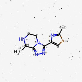 CCc1nc(-c2nnc3n2CCN[C@@H]3C)cs1